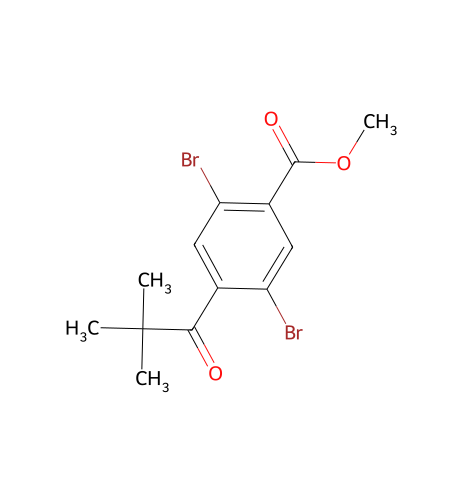 COC(=O)c1cc(Br)c(C(=O)C(C)(C)C)cc1Br